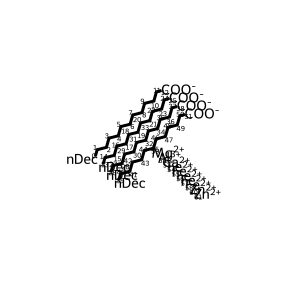 CCCCCCCCCCCCCCCCCCCCCC(=O)[O-].CCCCCCCCCCCCCCCCCCCCCC(=O)[O-].CCCCCCCCCCCCCCCCCCCCCC(=O)[O-].CCCCCCCCCCCCCCCCCCCCCC(=O)[O-].[Al+3].[Ca+2].[Fe+2].[Fe+2].[Fe+2].[Fe+2].[Fe+2].[Mg+2].[Zn+2].[Zn+2]